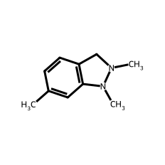 Cc1ccc2c(c1)N(C)N(C)C2